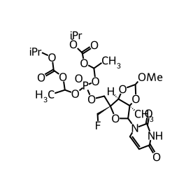 COC1O[C@@H]2[C@@](CF)(COP(=O)(OC(C)OC(=O)OC(C)C)OC(C)OC(=O)OC(C)C)OC(n3ccc(=O)[nH]c3=O)[C@]2(C)O1